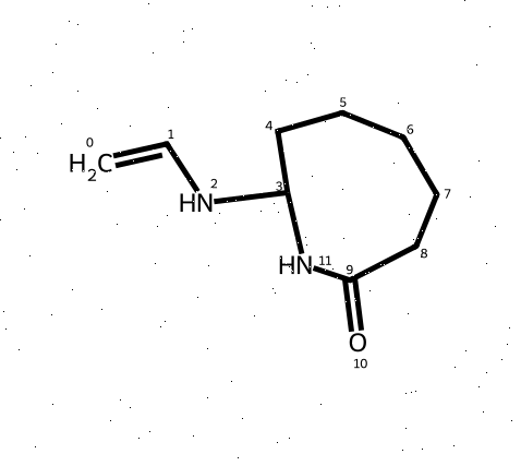 C=CNC1CCCCCC(=O)N1